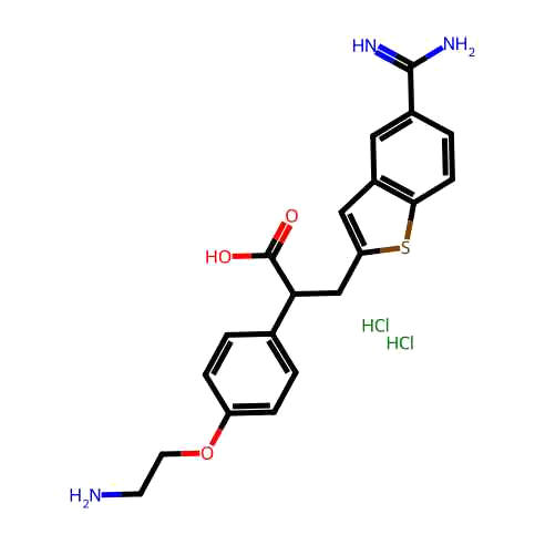 Cl.Cl.N=C(N)c1ccc2sc(CC(C(=O)O)c3ccc(OCCN)cc3)cc2c1